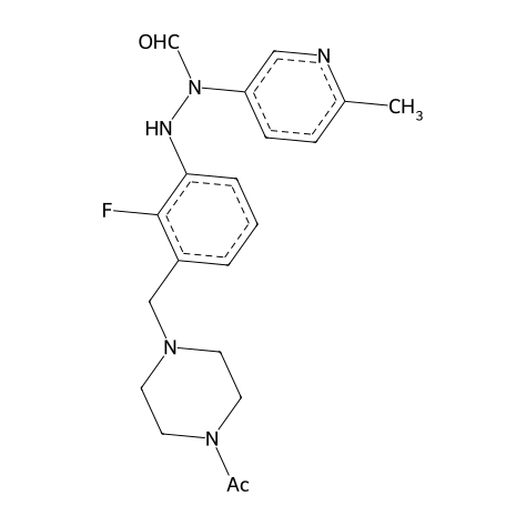 CC(=O)N1CCN(Cc2cccc(NN(C=O)c3ccc(C)nc3)c2F)CC1